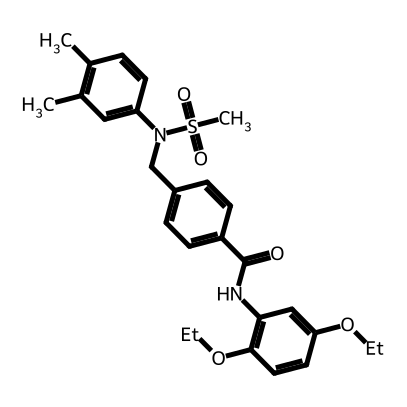 CCOc1ccc(OCC)c(NC(=O)c2ccc(CN(c3ccc(C)c(C)c3)S(C)(=O)=O)cc2)c1